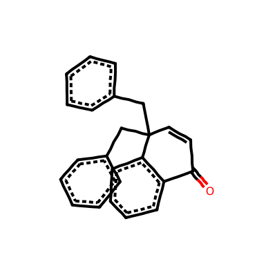 O=C1C=CC(Cc2ccccc2)(Cc2ccccc2)c2ccccc21